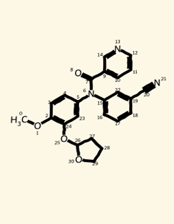 COc1ccc(N(C(=O)c2cccnc2)c2cccc(C#N)c2)cc1OC1CCCO1